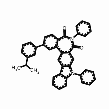 CC(C)c1cccc(-c2ccc3c(=O)n(-c4ccccc4)c(=O)c4cc5c(cc4c3c2)c2ccccc2n5-c2ccccc2)c1